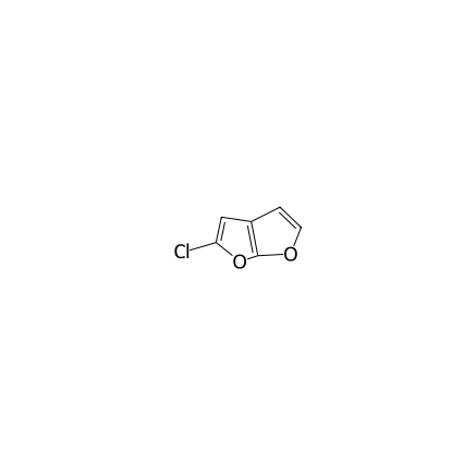 Clc1cc2ccoc2o1